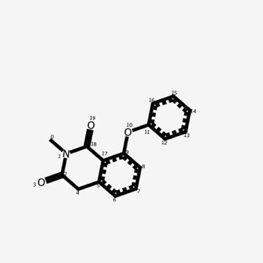 CN1C(=O)Cc2cccc(Oc3ccccc3)c2C1=O